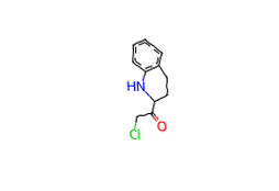 O=C(CCl)C1CCc2ccccc2N1